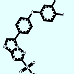 NS(=O)(=O)c1nn2c(-c3ccc(Oc4ccc(F)c(F)c4)cc3)cnc2s1